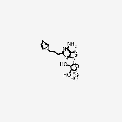 Nc1nc(CCCn2ccnc2)nc2c1ncn2[C@@H]1O[C@H](CO)C(O)C1O